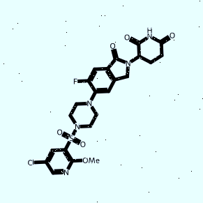 COc1ncc(Cl)cc1S(=O)(=O)N1CCN(c2cc3c(cc2F)C(=O)N(C2CCC(=O)NC2=O)C3)CC1